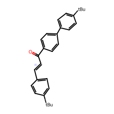 CC(C)(C)c1ccc(/C=C/C(=O)c2ccc(-c3ccc(C(C)(C)C)cc3)cc2)cc1